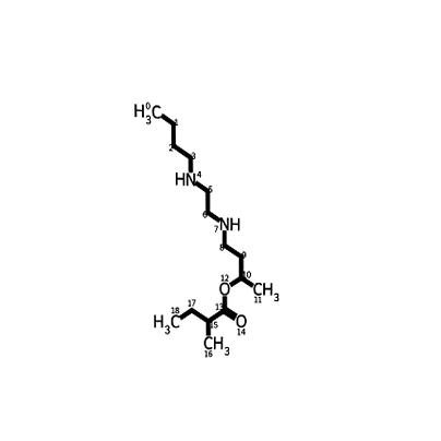 CCCCNCCNCCC(C)OC(=O)C(C)CC